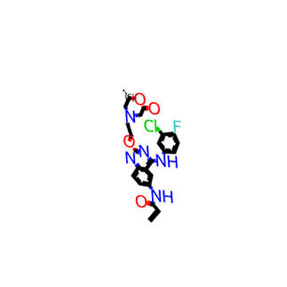 C=CC(=O)Nc1ccc2nc(OCCN3CC(=O)O[C@@H](C)C3)nc(Nc3ccc(F)c(Cl)c3)c2c1